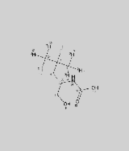 [2H]C([2H])([2H])C(F)(C[C@@H](CO)NC(=O)O)C([2H])([2H])[2H]